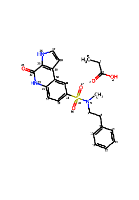 CCC(=O)O.CN(CCc1ccccc1)S(=O)(=O)c1ccc2[nH]c(=O)c3[nH]ccc3c2c1